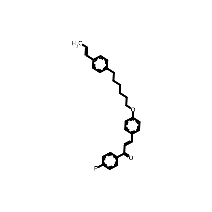 CC=Cc1ccc(CCCCCCOc2ccc(C=CC(=O)c3ccc(F)cc3)cc2)cc1